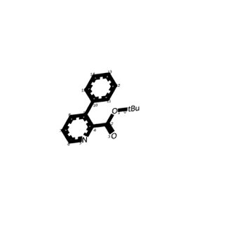 CC(C)(C)OC(=O)c1ncccc1-c1ccccc1